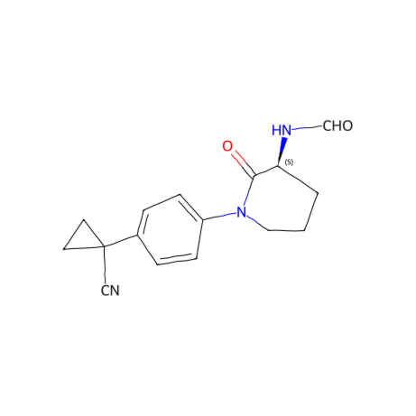 N#CC1(c2ccc(N3CCC[C@H](NC=O)C3=O)cc2)CC1